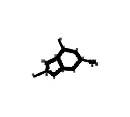 Cc1cc(N)cc2cn(C)nc12